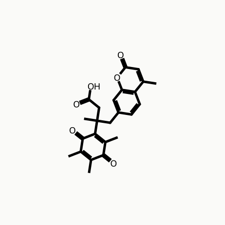 CC1=C(C)C(=O)C(C(C)(CC(=O)O)Cc2ccc3c(C)cc(=O)oc3c2)=C(C)C1=O